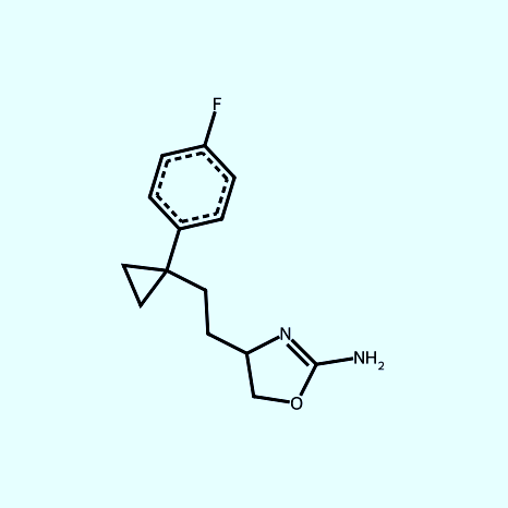 NC1=NC(CCC2(c3ccc(F)cc3)CC2)CO1